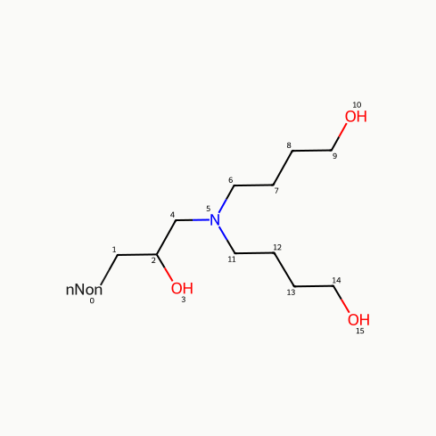 CCCCCCCCCCC(O)CN(CCCCO)CCCCO